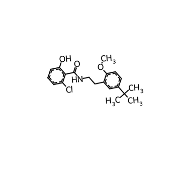 COc1ccc(C(C)(C)C)cc1CCNC(=O)c1c(O)cccc1Cl